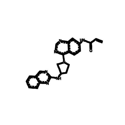 C=CC(=O)Nc1ccc2c(N3CCC(Nc4ncc5ccccc5n4)C3)ncnc2c1